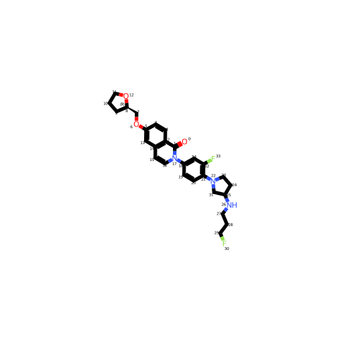 O=c1c2ccc(OC[C@H]3CCCO3)cc2ccn1-c1ccc(N2CCC(NCCCF)C2)c(F)c1